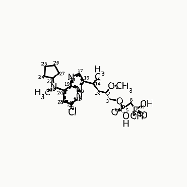 CO[C@H](COP(=O)(O)CP(=O)(O)O)CC(C)c1cnc2c(N(C)C3CCCC3)cc(Cl)nn12